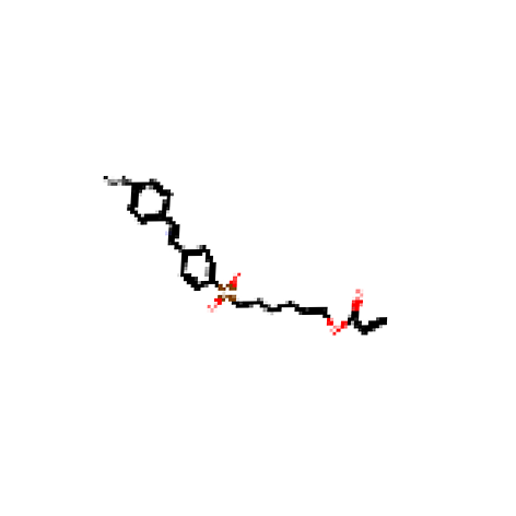 C=CC(=O)OCCCCCCS(=O)(=O)c1ccc(/C=C/c2ccc(SC)cc2)cc1